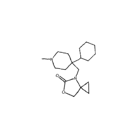 CN1CCC(CN2C(=O)OCC23CC3)(C2CCCCC2)CC1